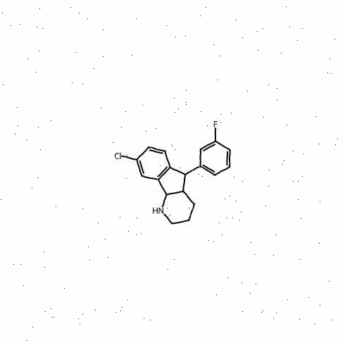 Fc1cccc(C2c3ccc(Cl)cc3C3NCCCC32)c1